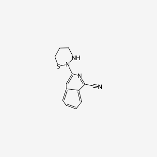 N#Cc1nc(N2NCCCS2)cc2ccccc12